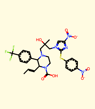 CC=CC1C(c2ccc(C(F)(F)F)cc2)N(CC(C)(O)Cn2cc([N+](=O)[O-])nc2Sc2ccc([N+](=O)[O-])cc2)CCN1C(=O)O